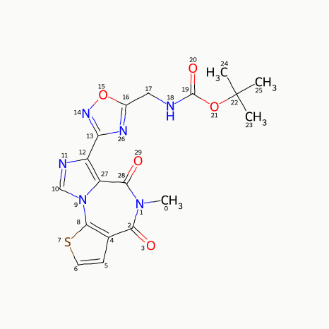 Cn1c(=O)c2ccsc2n2cnc(-c3noc(CNC(=O)OC(C)(C)C)n3)c2c1=O